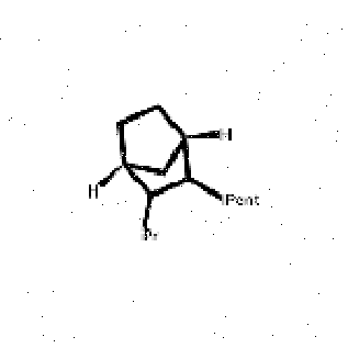 CCCC(C)C1C(C(C)C)[C@@H]2CC[C@H]1C2